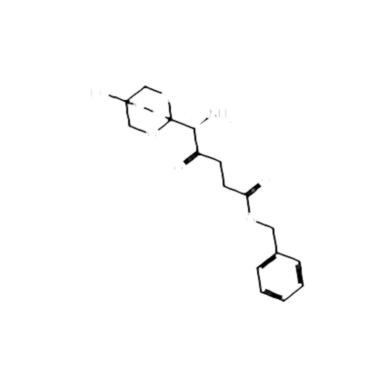 CC12COC([C@@H](N)C(=O)CCC(=O)OCc3ccccc3)(OC1)OC2